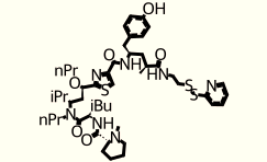 CCCO[C@H](C[C@H](C(C)C)N(CCC)C(=O)[C@@H](NC(=O)[C@H]1CCCCN1C)[C@@H](C)CC)c1nc(C(=O)N[C@@H](Cc2ccc(O)cc2)C[C@H](C)C(=O)NCCSSc2ccccn2)cs1